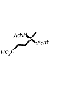 CCCCCS(C)(CCC(=O)O)NC(C)=O